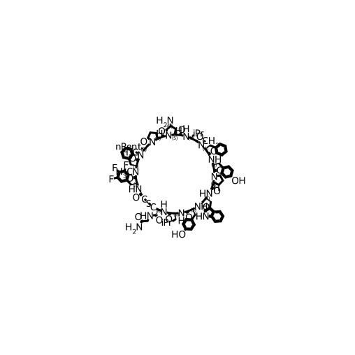 CCCCC[C@H]1C(=O)N2CCC[C@@H]2C(=O)N2C[C@H](N)C[C@H]2C(=O)N[C@@H](C(C)C)C(=O)N(C)[C@@H](Cc2ccccc2)C(=O)N[C@@H](Cc2ccc(O)cc2)C(=O)N2CCC[C@@H]2C(=O)N[C@@H](Cc2c[nH]c3ccccc23)C(=O)N[C@@H](Cc2ccc(O)cc2)C(=O)N[C@@H](CC(C)C)C(=O)N[C@H](C(=O)NCC(N)=O)CSCC(=O)N[C@@H](Cc2cc(F)c(F)c(F)c2)C(=O)N(C)[C@@H](Cc2ccccc2)C(=O)N1C